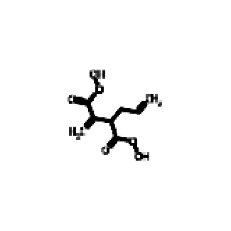 C=CCC(C(=C)C(=O)OO)C(=O)OO